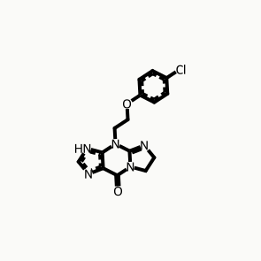 O=C1c2nc[nH]c2N(CCOc2ccc(Cl)cc2)C2=NCCN12